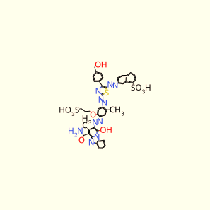 Cc1cc(N=Nc2c(C)c(C(N)=O)c3nc4ccccc4n3c2O)c(OCCCS(=O)(=O)O)cc1N=Nc1nc(-c2ccc(CO)cc2)c(N=Nc2ccc3cccc(S(=O)(=O)O)c3c2)s1